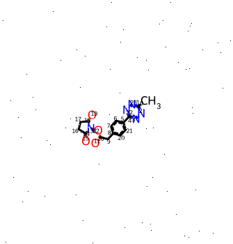 Cc1nnc(-c2ccc(CC(=O)ON3C(=O)CCC3=O)cc2)nn1